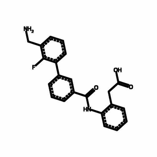 NCc1cccc(-c2cccc(C(=O)Nc3ccccc3CC(=O)O)c2)c1F